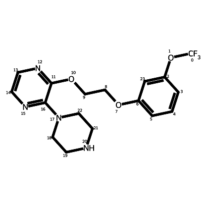 FC(F)(F)Oc1cccc(OCCOc2nccnc2N2CCNCC2)c1